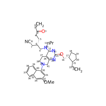 C=CC(=O)CC[C@@H](CC#N)CN(CCC)c1nc(OC[C@@H]2CCCC2C=C)nc2c1CCN(c1cc(OC)cc3ccccc13)C2